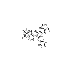 COc1cc2nc(Cc3ccccc3)n(-c3cccc(C(O)(C(F)(F)F)C(F)(F)F)c3)c(=O)c2cc1OC